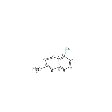 [CH2]c1ccc2c(F)cccc2c1